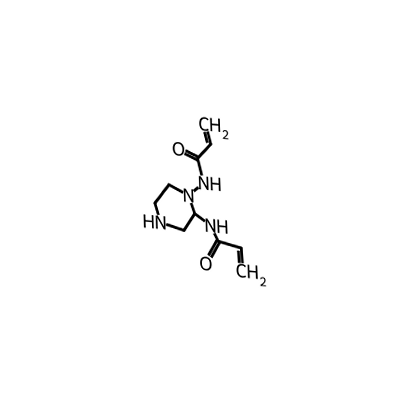 C=CC(=O)NC1CNCCN1NC(=O)C=C